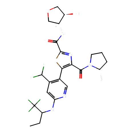 CCC(Nc1cc(C(F)F)c(-c2sc(C(=O)N[C@@H]3COC[C@H]3O)nc2C(=O)N2CCC[C@@H]2C)cn1)C(F)(F)F